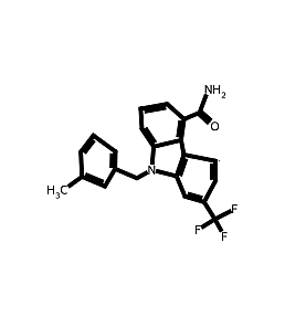 Cc1cccc(Cn2c3cc(C(F)(F)F)c[c]c3c3c(C(N)=O)cccc32)c1